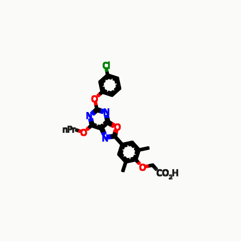 CCCOc1nc(Oc2cccc(Cl)c2)nc2oc(-c3cc(C)c(OCC(=O)O)c(C)c3)nc12